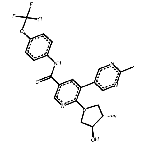 Cc1ncc(-c2cc(C(=O)Nc3ccc(OC(F)(F)Cl)cc3)cnc2N2C[C@H](C)[C@@H](O)C2)cn1